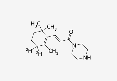 [2H]C1([2H])CCC(C)(C)C(C=CC(=O)N2CCNCC2)=C1C